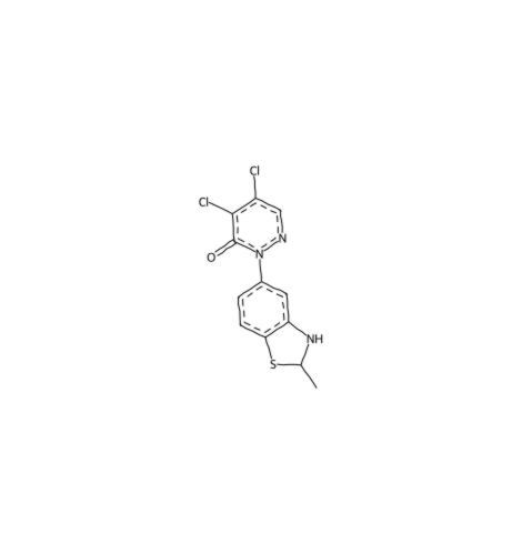 CC1Nc2cc(-n3ncc(Cl)c(Cl)c3=O)ccc2S1